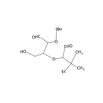 CCC(C)(C)C(C=O)OC(CO)C(C=O)OC(C)(C)C